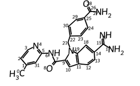 Cc1ccnc(NC(=O)c2cc3ccc(C(=N)N)cc3n2Cc2ccc(C(N)=O)cc2)c1